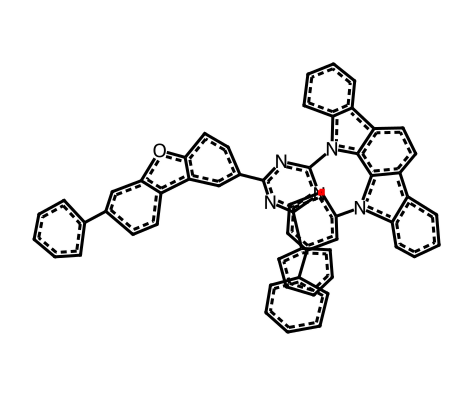 c1ccc(-c2cccc(-n3c4ccccc4c4ccc5c6ccccc6n(-c6nc(-c7ccccc7)nc(-c7ccc8oc9cc(-c%10ccccc%10)ccc9c8c7)n6)c5c43)c2)cc1